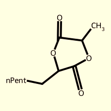 CCCCCCC1OC(=O)C(C)OC1=O